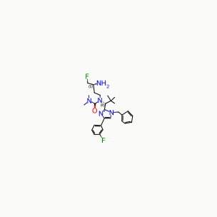 CN(C)C(=O)N(CC[C@H](N)CF)[C@@H](c1nc(-c2cccc(F)c2)cn1Cc1ccccc1)C(C)(C)C